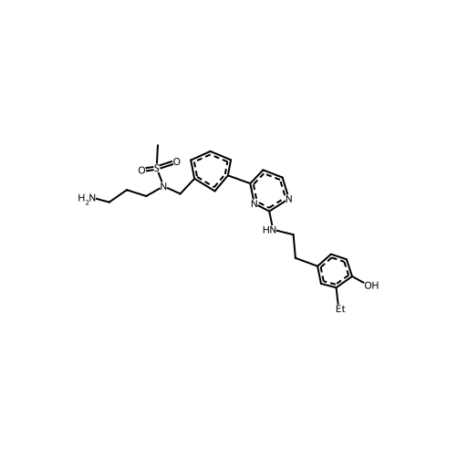 CCc1cc(CCNc2nccc(-c3cccc(CN(CCCN)S(C)(=O)=O)c3)n2)ccc1O